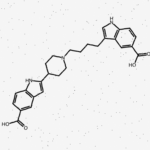 O=C(O)c1ccc2[nH]c(C3CCN(CCCCc4c[nH]c5ccc(C(=O)O)cc45)CC3)cc2c1